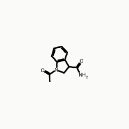 CC(=O)N1CC(C(N)=O)c2ccc[c]c21